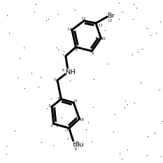 CC(C)(C)c1ccc(CNCc2ccc(Br)cc2)cc1